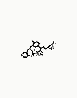 CCn1cc(CCC(c2ccc(C)c(CN3Cc4cnccc4OC(C)(C)C3)c2)C(C)C(=O)OC)nn1